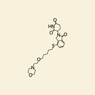 O=C1CCC(N2Cc3c(SCCCCCOCCN4CCOCC4)cccc3C2=O)C(=O)N1